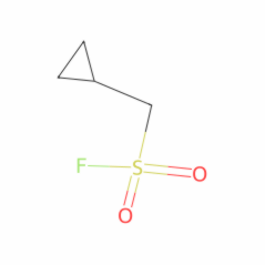 O=S(=O)(F)CC1CC1